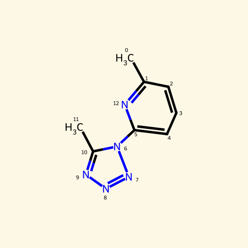 Cc1cccc(-n2nnnc2C)n1